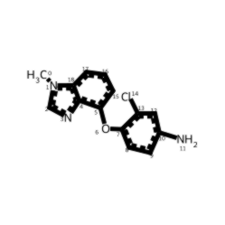 Cn1cnc2c(Oc3ccc(N)cc3Cl)cccc21